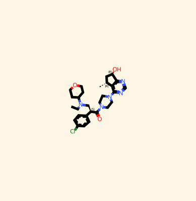 CCN(C[C@@H](C(=O)N1CCN(c2ncnc3c2[C@H](C)C[C@H]3O)CC1)c1ccc(Cl)cc1)C1CCOCC1